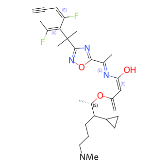 C#C/C=C(F)\C(=C(/C)F)C(C)(C)c1noc(/C(C)=N/C(O)=C\C(=C)O[C@@H](C)C(CCCNC)C2CC2)n1